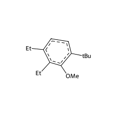 CCc1ccc(C(C)(C)C)c(OC)c1CC